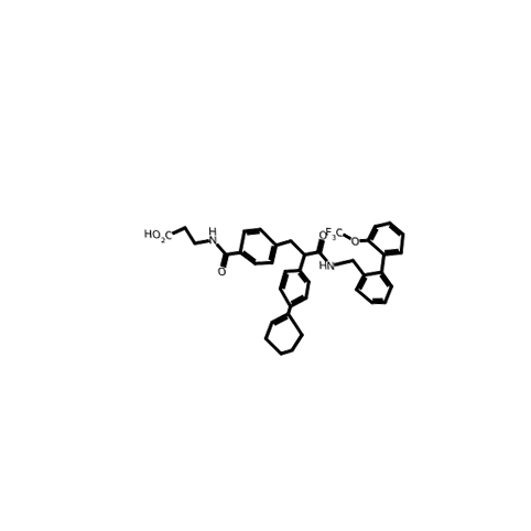 O=C(O)CCNC(=O)c1ccc(CC(C(=O)NCc2ccccc2-c2ccccc2OC(F)(F)F)c2ccc(C3=CCCCC3)cc2)cc1